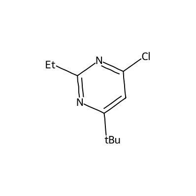 CCc1nc(Cl)cc(C(C)(C)C)n1